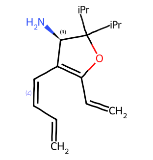 C=C/C=C\C1=C(C=C)OC(C(C)C)(C(C)C)[C@@H]1N